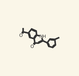 CC(=O)c1ccc2[nH]c(-c3cccc(C)c3)cc(=O)c2c1